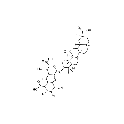 CC12CC[C@](C)(C(=O)O)C[C@H]1C1=CC(=O)[C@@H]3[C@@]4(C)CC[C@H](O[C@H]5O[C@H](C(=O)O)C(O)[C@H](O)[C@H]5O[C@@H]5OC(C(=O)O)[C@@H](O)C(O)[C@H]5O)C(C)(C)[C@@H]4CC[C@@]3(C)[C@]1(C)CC2